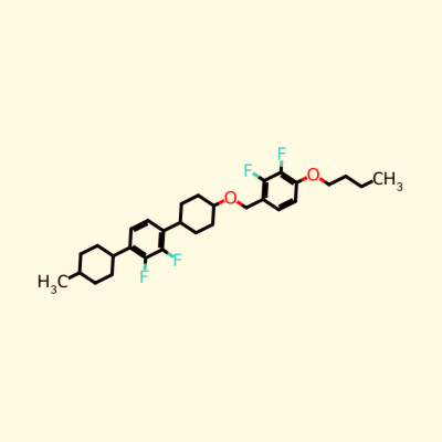 CCCCOc1ccc(COC2CCC(c3ccc(C4CCC(C)CC4)c(F)c3F)CC2)c(F)c1F